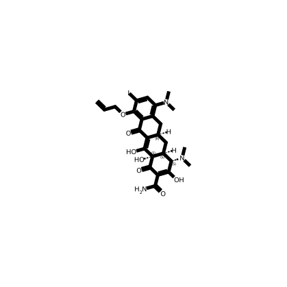 C=CCOc1c(I)cc(N(C)C)c2c1C(=O)C1=C(O)[C@]3(O)C(=O)C(C(N)=O)=C(O)[C@@H](N(C)C)[C@@H]3C[C@@H]1C2